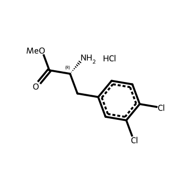 COC(=O)[C@H](N)Cc1ccc(Cl)c(Cl)c1.Cl